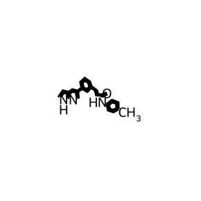 Cc1ccc(NC(=O)C=Cc2cccc(-c3cnc4[nH]ccc4c3)c2)cc1